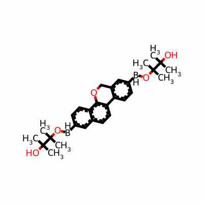 CC(C)(O)C(C)(C)OBc1ccc2c(c1)COc1c-2ccc2cc(BOC(C)(C)C(C)(C)O)ccc12